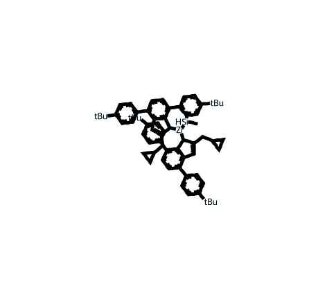 C[SiH](C)[Zr]([CH]1C(CC2CC2)=Cc2c(-c3ccc(C(C)(C)C)cc3)ccc(-c3ccc(C(C)(C)C)cc3)c21)[CH]1C(CC2CC2)=Cc2c(-c3ccc(C(C)(C)C)cc3)ccc(-c3ccc(C(C)(C)C)cc3)c21